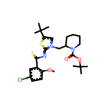 COc1ccc(Cl)cc1C(=S)N=c1sc(C(C)(C)C)cn1CC1CCCCN1C(=O)OC(C)(C)C